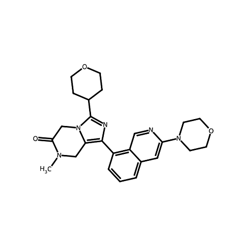 CN1Cc2c(-c3cccc4cc(N5CCOCC5)ncc34)nc(C3CCOCC3)n2CC1=O